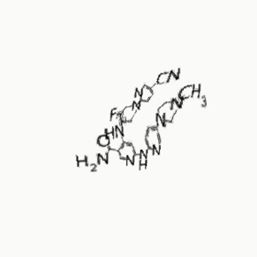 CN1CCN(c2ccc(Nc3cc(N[C@@H]4CCN(c5ccc(C#N)cn5)C[C@@H]4F)c(C(N)=O)cn3)nc2)CC1